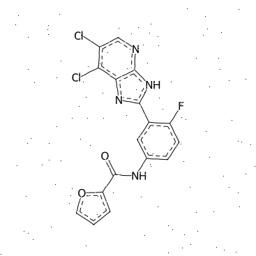 O=C(Nc1ccc(F)c(-c2nc3c(Cl)c(Cl)cnc3[nH]2)c1)c1ccco1